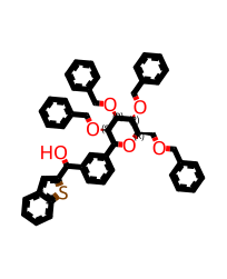 OC(c1cccc(C2O[C@H](COCc3ccccc3)[C@@H](OCc3ccccc3)[C@H](OCc3ccccc3)[C@H]2OCc2ccccc2)c1)c1cc2ccccc2s1